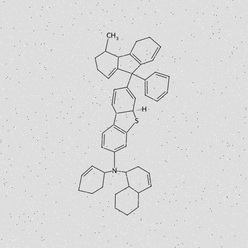 CC1CCC=C2C1C1=C(C=CCC1)C2(C1=C[C@H]2Sc3cc(N(C4C=CCCC4)C4CC=CC5CCCCC54)ccc3C2C=C1)c1ccccc1